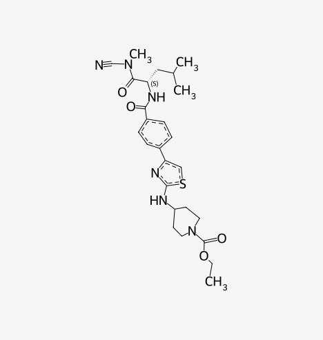 CCOC(=O)N1CCC(Nc2nc(-c3ccc(C(=O)N[C@@H](CC(C)C)C(=O)N(C)C#N)cc3)cs2)CC1